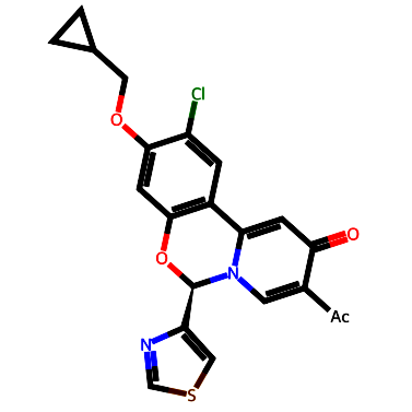 CC(=O)c1cn2c(cc1=O)-c1cc(Cl)c(OCC3CC3)cc1O[C@@H]2c1cscn1